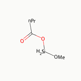 CCCC(=O)O[SiH2]OC